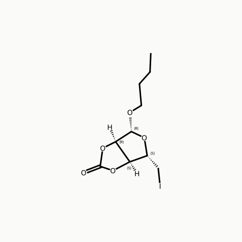 CCCCO[C@@H]1O[C@H](CI)[C@H]2OC(=O)O[C@@H]12